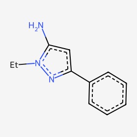 CCn1nc(-c2ccccc2)cc1N